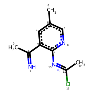 CC(=N)c1cc(C)cnc1/N=C(\C)Cl